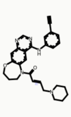 C#Cc1cccc(Nc2ncnc3cc4c(cc23)N(C(=O)/C=C/CN2CCCCC2)CCCO4)c1